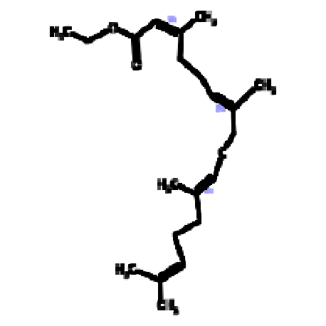 CCOC(=O)/C=C(/C)CC/C=C(\C)CC/C=C(\C)CCC=C(C)C